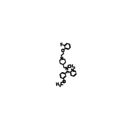 COc1cccc([C@@H](c2ccccn2)N(C)CC2CCN(CCOc3ccccc3F)CC2)c1